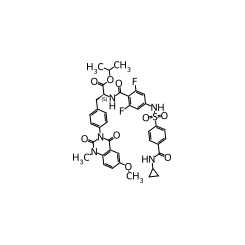 COc1ccc2c(c1)c(=O)n(-c1ccc(C[C@H](NC(=O)c3c(F)cc(NS(=O)(=O)c4ccc(C(=O)NC5CC5)cc4)cc3F)C(=O)OC(C)C)cc1)c(=O)n2C